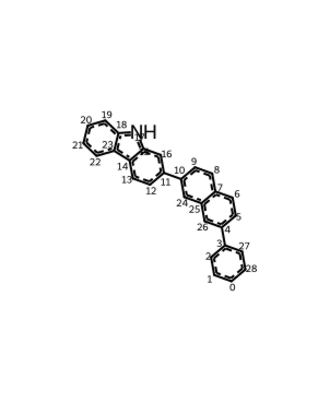 c1ccc(-c2ccc3ccc(-c4ccc5c(c4)[nH]c4ccccc45)cc3c2)cc1